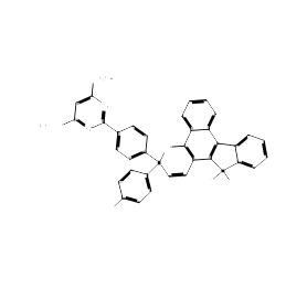 CCC1(CC)c2ccccc2-c2c1c1c(c3ccccc23)OC(c2ccc(F)cc2)(c2ccc(-c3nc(OC)cc(OC)n3)cc2)C=C1